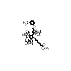 CC[Si](CC)(CC)OC(C=C[C@@H]1[C@@H](CC=CCCCC(=O)OC(C)C)[C@@H](O[Si](CC)(CC)CC)C[C@H]1O[Si](CC)(CC)CC)COc1cccc(C(F)(F)F)c1